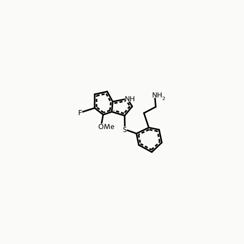 COc1c(F)ccc2[nH]cc(Sc3ccccc3CCN)c12